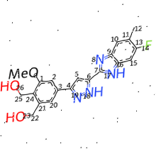 COc1cc(-c2cc(-c3nc4cc(C)c(F)cc4[nH]3)[nH]n2)cc(CO)c1CO